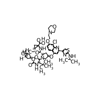 CC[C@@H]1C[C@]1(NC(=O)[C@@H]1C[C@@H](Oc2cc(-c3csc(NC(C)C)n3)nc3c(Cl)c(OCCN4CCOCC4)ccc23)CN1C(=O)[C@@H](NC(=O)O[C@@H]1C[C@@H]2O[C@@H]2C1)C(C)(C)C)C(=O)O